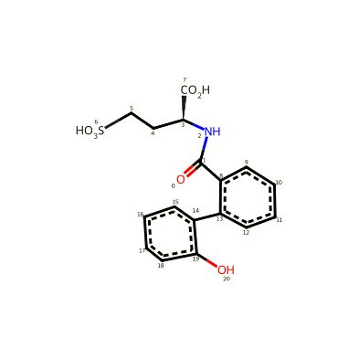 O=C(N[C@@H](CCS(=O)(=O)O)C(=O)O)c1ccccc1-c1ccccc1O